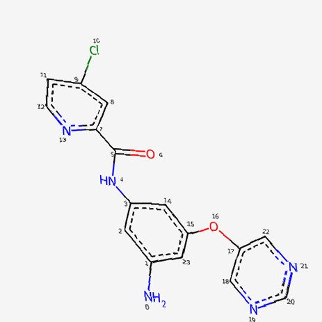 Nc1cc(NC(=O)c2cc(Cl)ccn2)cc(Oc2cncnc2)c1